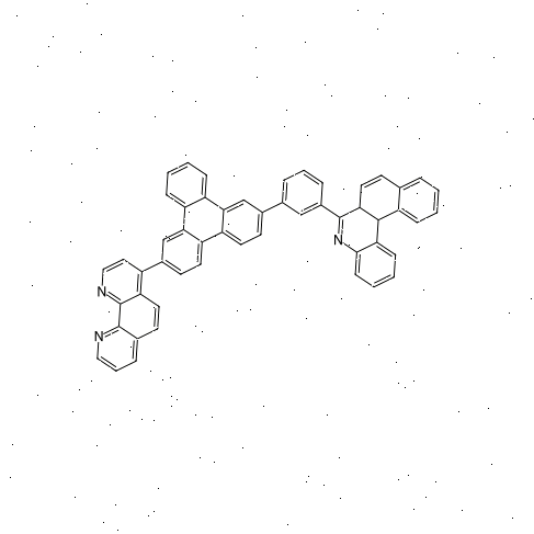 C1=CC2C(c3cccc(-c4ccc5c6ccc(-c7ccnc8c7ccc7cccnc78)cc6c6ccccc6c5c4)c3)=Nc3ccccc3C2c2ccccc21